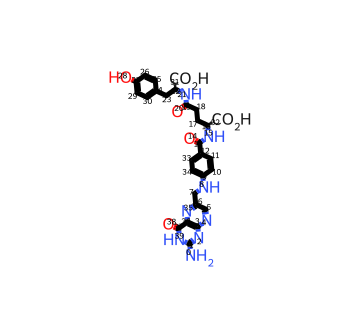 Nc1nc2ncc(CNc3ccc(C(=O)N[C@@H](CCC(=O)N[C@@H](Cc4ccc(O)cc4)C(=O)O)C(=O)O)cc3)nc2c(=O)[nH]1